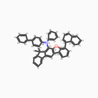 CC1(C)c2ccccc2-c2cc3c(oc4c(-c5cccc6ccccc56)cccc43)c(N(c3ccccc3)c3ccc(-c4ccccc4)cc3)c21